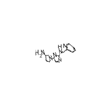 N[C@@H]1CCN(c2ccnc(NCc3ccccn3)n2)C1